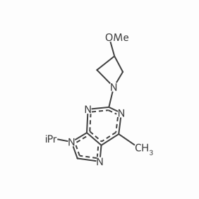 COC1CN(c2nc(C)c3ncn(C(C)C)c3n2)C1